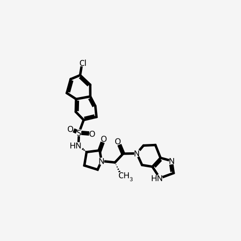 C[C@@H](C(=O)N1CCc2nc[nH]c2C1)N1CC[C@H](NS(=O)(=O)c2ccc3cc(Cl)ccc3c2)C1=O